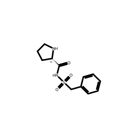 O=C(NS(=O)(=O)Cc1ccccc1)[C@@H]1CCCN1